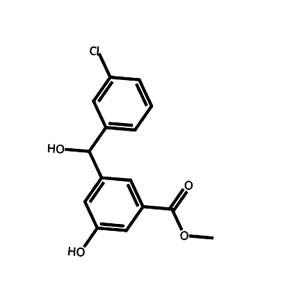 COC(=O)c1cc(O)cc(C(O)c2cccc(Cl)c2)c1